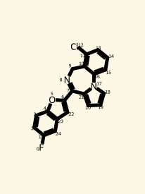 Fc1ccc2oc(C3=NCc4c(Cl)cccc4-n4cccc43)cc2c1